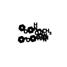 CN(CC(=O)Nc1ccc(Oc2ccccc2)cc1)C(COc1ccc(OCc2ccccc2)cc1)c1nnn[nH]1